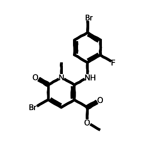 COC(=O)c1cc(Br)c(=O)n(C)c1Nc1ccc(Br)cc1F